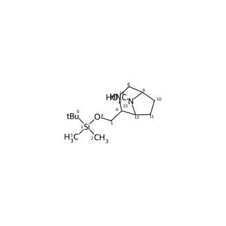 CC(C)(C)[Si](C)(C)OCC1NCC2CCC1N2C(=O)O